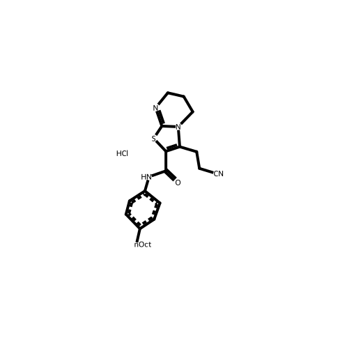 CCCCCCCCc1ccc(NC(=O)C2=C(CCC#N)N3CCCN=C3S2)cc1.Cl